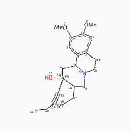 COc1cc2c(cc1OC)C1C[C@](O)(C#CCI)C(CC(C)C)CN1CC2